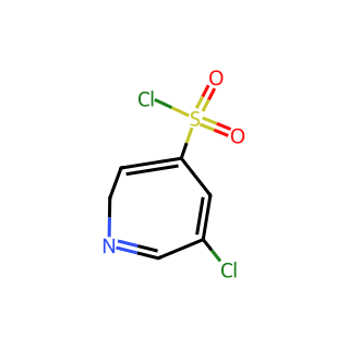 O=S(=O)(Cl)C1=CCN=CC(Cl)=C1